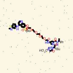 CC(C)[C@@H](C)NC(=O)[C@@H]1C[C@H](NC(=O)COCCOCCOCCOCCOc2cc3nccc(Nc4ccc5scnc5c4)c3cc2S(=O)(=O)C(C)(C)C)CN1C(=O)[C@@H](NC(=O)[C@H](C)N(C)C(=O)O)C(C)(C)C